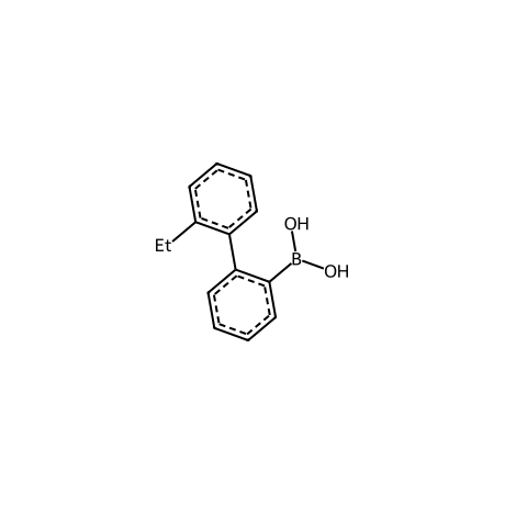 CCc1ccccc1-c1ccccc1B(O)O